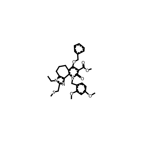 CCn1c(CSC)nc2c1CCCc1c(OCc3ccccc3)c(C(=O)OC)c(=O)n(Cc3ccc(OC)cc3OC)c1-2